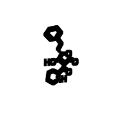 O=C1O[C@@H](CCc2ccccc2)C(O)=C1C(=O)C1CCCCN1